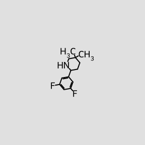 CC1(C)CCC(c2cc(F)cc(F)c2)NC1